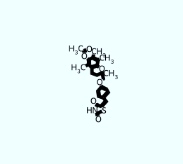 CC(=O)Oc1c(C)c(C)c2c(c1C)CCC(C)(COc1ccc(C=C3SC(=O)NC3=O)cc1)O2